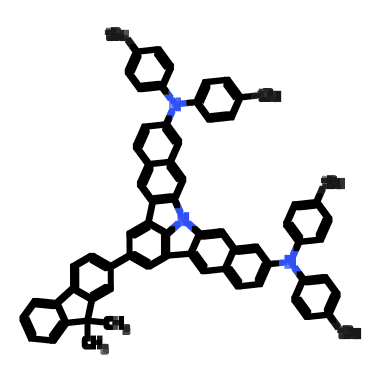 CC(C)(C)c1ccc(N(c2ccc(C(C)(C)C)cc2)c2ccc3cc4c5cc(-c6ccc7c(c6)C(C)(C)c6ccccc6-7)cc6c7cc8ccc(N(c9ccc(C(C)(C)C)cc9)c9ccc(C(C)(C)C)cc9)cc8cc7n(c4cc3c2)c56)cc1